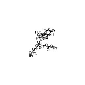 CO[C@](F)(COP(=O)(OCOC(=O)OC(C)C)OCOC(=O)OC(C)C)[C@@H](O)[C@H](C)n1ccc(=O)[nH]c1=O